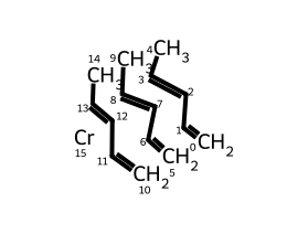 C=CC=CC.C=CC=CC.C=CC=CC.[Cr]